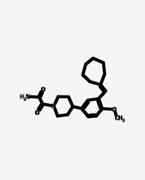 COc1ccc(C2CCN(C(=O)C(N)=O)CC2)cc1C=C1CCCCCC1